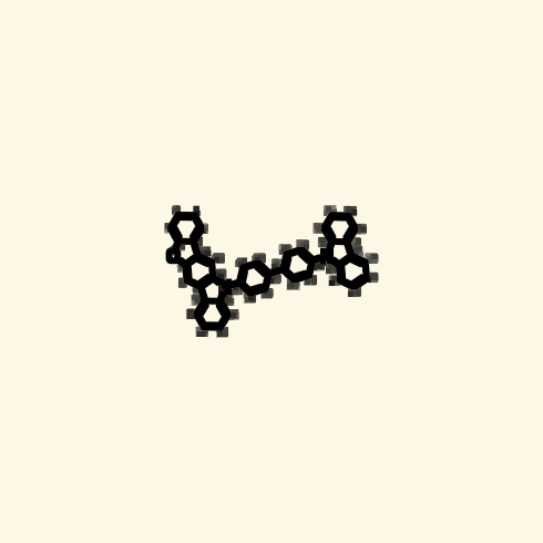 c1ccc2c(c1)oc1cc3c4ccccc4n(-c4ccc(-c5ccc(-n6c7ccccc7c7ccccc76)cc5)cc4)c3cc12